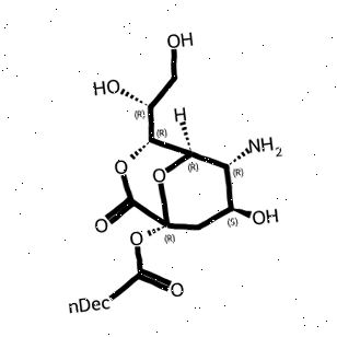 CCCCCCCCCCC(=O)O[C@@]12C[C@H](O)[C@@H](N)[C@@H](O1)[C@@H]([C@H](O)CO)OC2=O